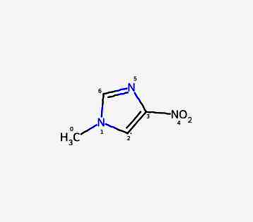 Cn1[c]c([N+](=O)[O-])nc1